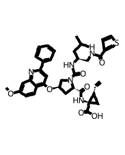 C=C[C@@H]1C[C@]1(NC(=O)[C@@H]1C[C@@H](Oc2cc(-c3ccccc3)nc3cc(OC)ccc23)CN1C(=O)N[C@H](CNC(=O)c1ccsc1)CC(C)C)C(=O)O